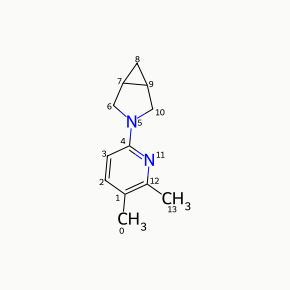 Cc1ccc(N2CC3CC3C2)nc1C